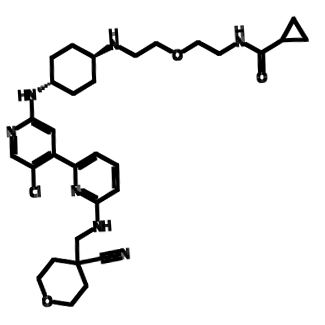 N#CC1(CNc2cccc(-c3cc(N[C@H]4CC[C@H](NCCOCCNC(=O)C5CC5)CC4)ncc3Cl)n2)CCOCC1